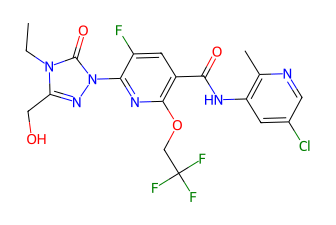 CCn1c(CO)nn(-c2nc(OCC(F)(F)F)c(C(=O)Nc3cc(Cl)cnc3C)cc2F)c1=O